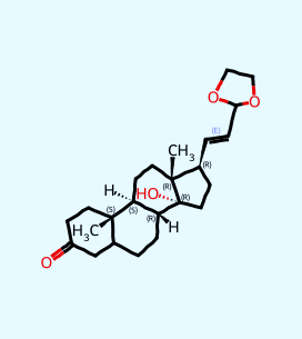 C[C@]12CCC(=O)CC1CC[C@@H]1[C@@H]2CC[C@]2(C)[C@@H](/C=C/C3OCCO3)CC[C@@]12O